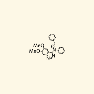 COc1cc2ncnc(N(OCc3ccccc3)c3ccccc3)c2cc1OC